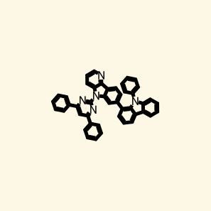 c1ccc(-c2cc(-c3ccccc3)nc(-n3c4cc(-c5cccc6c7ccccc7n(-c7ccccc7)c56)ccc4c4ncccc43)n2)cc1